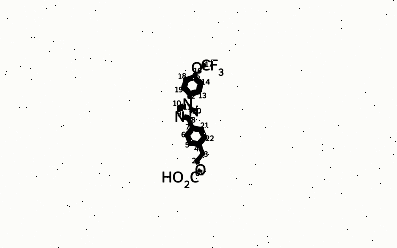 O=C(O)OCCc1ccc(-c2ncn(-c3ccc(OC(F)(F)F)cc3)n2)cc1